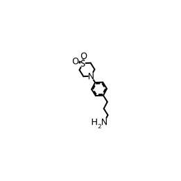 NCCCc1ccc(N2CCS(=O)(=O)CC2)cc1